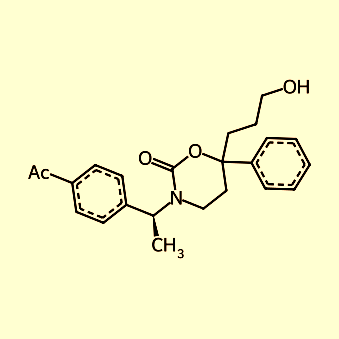 CC(=O)c1ccc([C@H](C)N2CCC(CCCO)(c3ccccc3)OC2=O)cc1